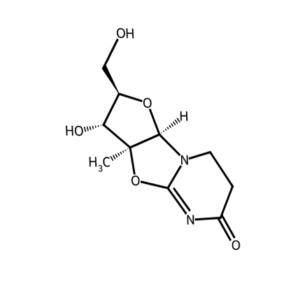 C[C@@]12OC3=NC(=O)CCN3[C@@H]1O[C@H](CO)[C@H]2O